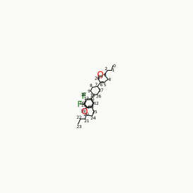 CCCC1CC=C(C2CCC(c3cc4c(c(F)c3F)OC(CCC)CC4)CC2)CO1